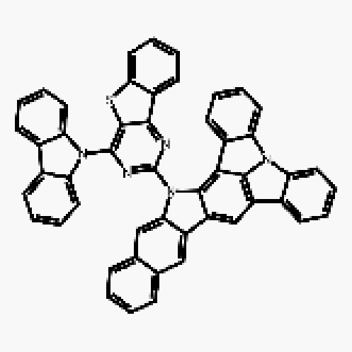 c1ccc2cc3c(cc2c1)c1cc2c4ccccc4n4c5ccccc5c(c1n3-c1nc(-n3c5ccccc5c5ccccc53)c3sc5ccccc5c3n1)c24